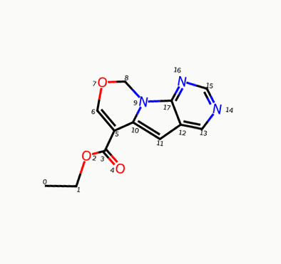 CCOC(=O)C1=COCn2c1cc1cncnc12